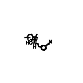 CC1CCC(C(C)C)C(O)(C(=O)NCCc2cccc(C#N)c2)C1